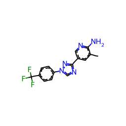 Cc1cc(-c2ncn(-c3ccc(C(F)(F)F)cc3)n2)cnc1N